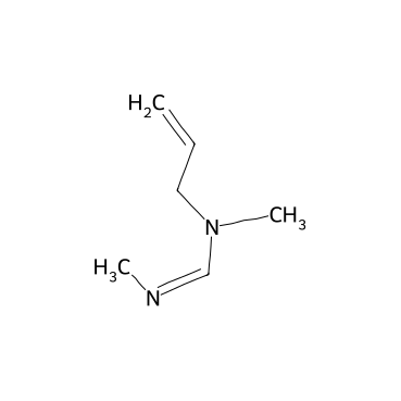 C=CCN(C)/C=N\C